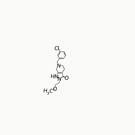 COCCn1[nH]c2c(c1=O)CCN(Cc1cccc(Cl)c1)C2